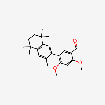 COc1cc(OC)c(-c2cc3c(cc2C)C(C)(C)CCC3(C)C)cc1C=O